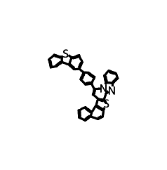 c1ccc2c(c1)ccc1sc3c(cc(-c4ccc(-c5ccc6sc7ccccc7c6c5)cc4)n4c5ccccc5nc34)c12